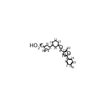 Cc1ccc(-c2nc(COC3CCCC(CCC(C(=O)O)C(C)C)C3)c(C)o2)cc1